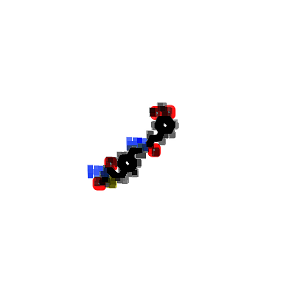 O=C(C=Cc1ccc2c(c1)OCO2)NCCc1ccc(C[C@H]2SC(=O)NC2=O)cc1